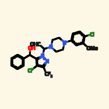 COc1cc(N2CCN(C(C=O)n3nc(C(F)(F)F)c(Cl)c3C(O)c3ccccc3)CC2)ccc1Cl